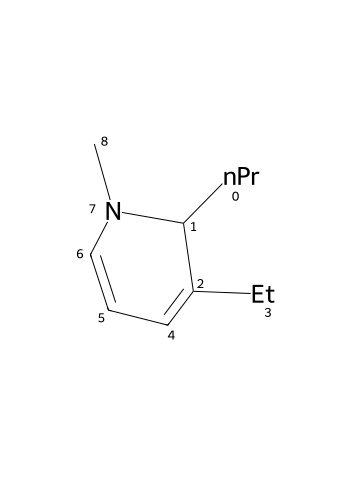 CCCC1C(CC)=CC=CN1C